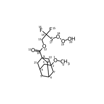 COC12CC3CC(C1)CC(C(=O)OCC(F)(F)SOOO)(C3)C2